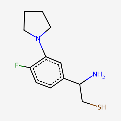 NC(CS)c1ccc(F)c(N2CCCC2)c1